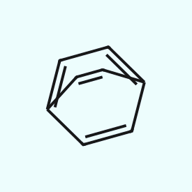 c1cc2ccc1cc2